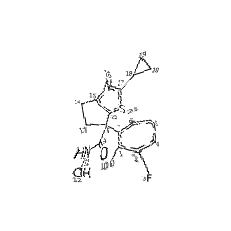 Cc1c(F)cccc1C1(C(=O)NO)CCc2nc(C3CC3)sc21